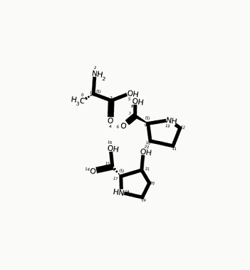 C[C@H](N)C(=O)O.O=C(O)[C@@H]1CCCN1.O=C(O)[C@H]1NCCC1O